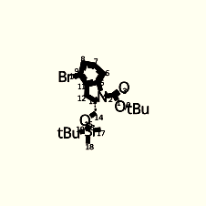 CC(C)(C)OC(=O)N1c2cccc(Br)c2C[C@H]1CO[Si](C)(C)C(C)(C)C